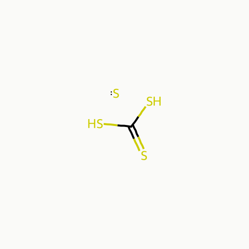 S=C(S)S.[S]